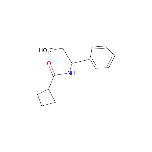 O=C(O)CC(NC(=O)C1CCC1)c1ccccc1